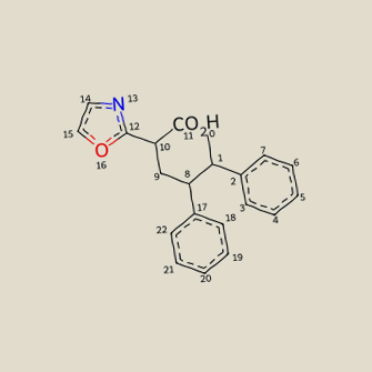 CC(c1ccccc1)C(CC(C(=O)O)c1ncco1)c1ccccc1